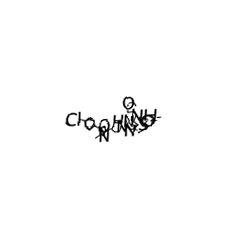 Cc1nc(C2CCN(C3=NC4=C(C(NC5CCOCC5)N3)[S+]([O-])CC4)CC2)oc1-c1ccc(Cl)cc1